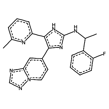 Cc1cccc(-c2[nH]c(NC(C)c3ccccc3F)nc2-c2ccn3ncnc3c2)n1